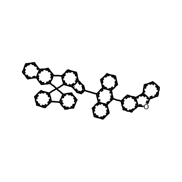 c1ccc2c(c1)-c1ccccc1C21c2cc3ccccc3cc2-c2ccc3cc(-c4c5ccccc5c(-c5ccc6oc7ccccc7c6c5)c5ccccc45)ccc3c21